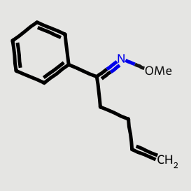 C=CCCC(=NOC)c1ccccc1